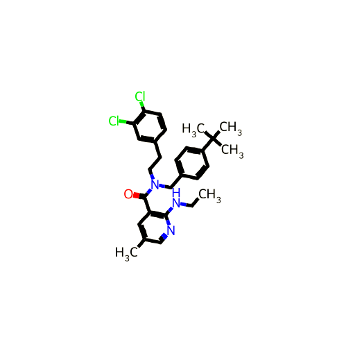 CCNc1ncc(C)cc1C(=O)N(CCc1ccc(Cl)c(Cl)c1)Cc1ccc(C(C)(C)C)cc1